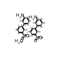 Nc1cccc(-c2cccc([N+](=O)[O-])c2)c1.Nc1cccc(-c2cccc([N+](=O)[O-])c2)c1.O